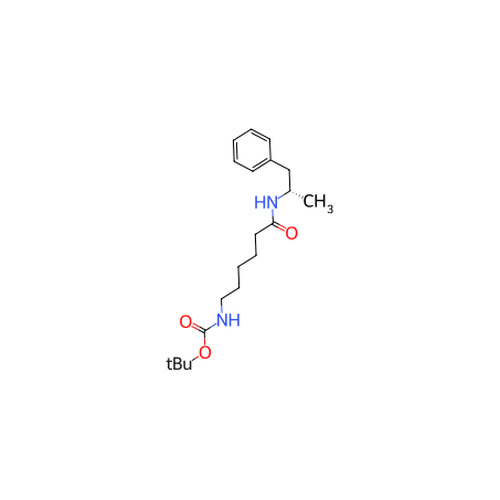 C[C@@H](Cc1ccccc1)NC(=O)CCCCCNC(=O)OC(C)(C)C